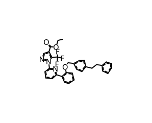 CCOC(=O)c1cnn(-c2cccc(-c3ccccc3OCc3ccc(CCc4ccccc4)cc3)n2)c1C(F)(F)F